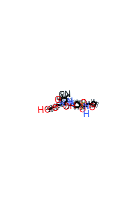 Cc1c(/N=N/c2ccc(S(=O)(=O)NCC3CCCO3)cc2)c(O)n(CCOCCO)c(=O)c1C#N